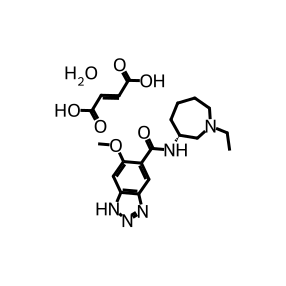 CCN1CCCC[C@@H](NC(=O)c2cc3nn[nH]c3cc2OC)C1.O.O=C(O)/C=C/C(=O)O